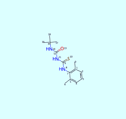 Cc1cccc(C)c1NC(=S)NC(=O)NC(C)(C)C